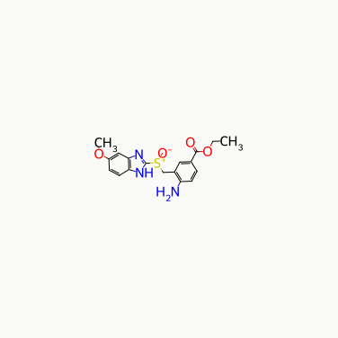 CCOC(=O)c1ccc(N)c(C[S+]([O-])c2nc3cc(OC)ccc3[nH]2)c1